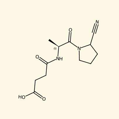 C[C@H](NC(=O)CCC(=O)O)C(=O)N1CCCC1C#N